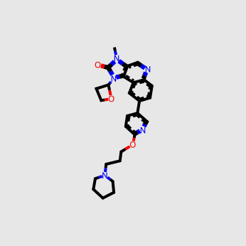 Cn1c(=O)n(C2CCO2)c2c3cc(-c4ccc(OCCCN5CCCCC5)nc4)ccc3ncc21